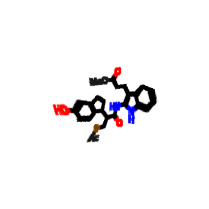 COC(=O)CCc1c(NC(=O)C(CSC(C)=O)C2CCc3cc(O)ccc32)[nH]c2ccccc12